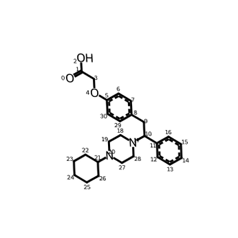 O=C(O)COc1ccc(CC(c2ccccc2)N2CCN(C3CCCCC3)CC2)cc1